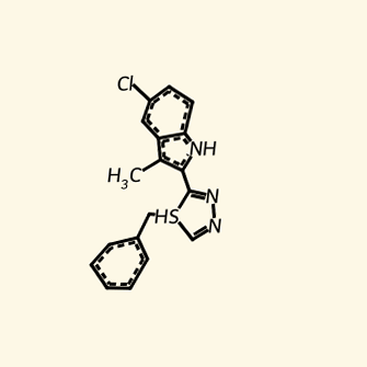 Cc1c(C2=NN=C[SH]2Cc2ccccc2)[nH]c2ccc(Cl)cc12